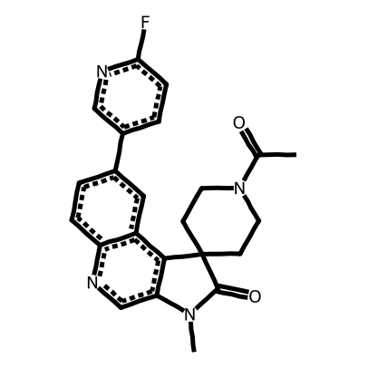 CC(=O)N1CCC2(CC1)C(=O)N(C)c1cnc3ccc(-c4ccc(F)nc4)cc3c12